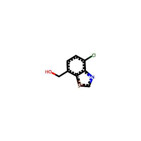 OCc1ccc(Cl)c2n[c]sc12